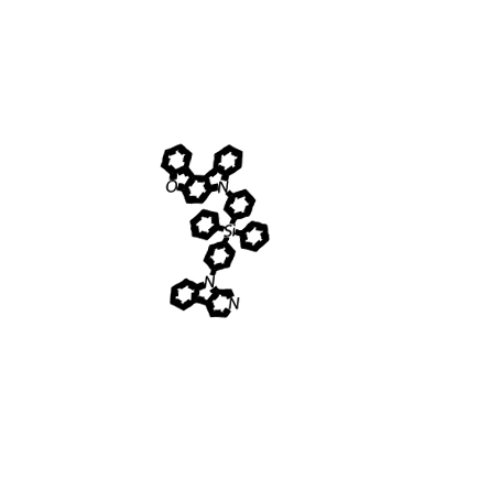 c1ccc([Si](c2ccccc2)(c2ccc(-n3c4ccccc4c4ccncc43)cc2)c2cccc(-n3c4ccccc4c4c5c(ccc43)oc3ccccc35)c2)cc1